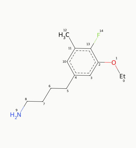 CCOc1cc(CCCCN)cc(C)c1F